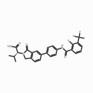 CC(C)[C@@H](C(=O)O)N1Cc2ccc(-c3ccc(NC(=O)c4cccc(C(F)(F)F)c4F)cc3)cc2C1=O